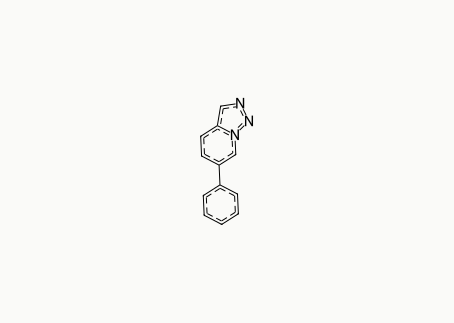 c1ccc(-c2ccc3cnnn3c2)cc1